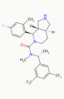 Cc1cc(F)ccc1[C@H]1[C@@H]2CNC[C@H]2CCN1C(=O)N(C)[C@H](C)c1cc(C(F)(F)F)cc(C(F)(F)F)c1